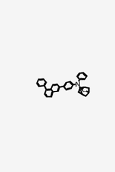 c1ccc(-c2cccc3cc(-c4ccc(N(c5ccccc5)C56CC7CC(CC5C7)C6)cc4)ccc23)cc1